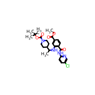 COC(=O)c1ccc(C(=O)Nc2ccc(Cl)cn2)c(NC(C)C2CCN(C(=O)OC(C)(C)C)CC2)c1